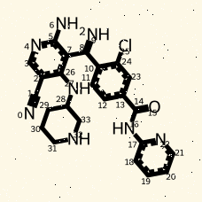 N#Cc1cnc(N)c(C(=N)c2ccc(C(=O)Nc3ccccn3)cc2Cl)c1NC1CCCNC1